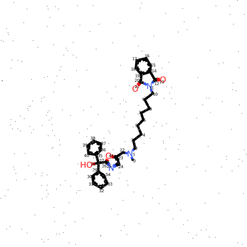 CN(CCCCCCCCCN1C(=O)c2ccccc2C1=O)Cc1cnc(C(O)(c2ccccc2)c2ccccc2)o1